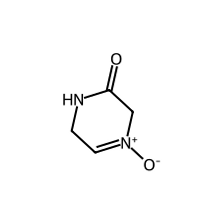 O=C1C[N+]([O-])=CCN1